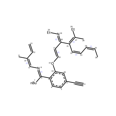 C#Cc1ccc(/C(CCCC)=N/C=C(/C)C=C)c(O/C=C/C(=N\CC)C(/C=C\C=C/C)=C(/C)CC)c1